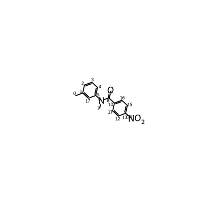 Cc1cccc(N(C)C(=O)c2ccc([N+](=O)[O-])cc2)c1